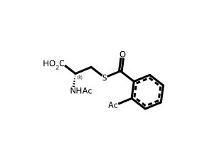 CC(=O)N[C@@H](CSC(=O)c1ccccc1C(C)=O)C(=O)O